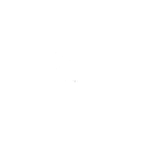 O=C1NS(=O)(=O)C2C3CCC(C4CC43)C12